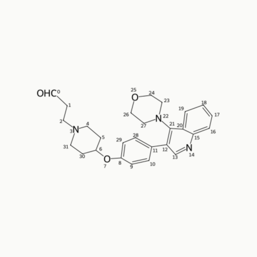 O=CCCN1CCC(Oc2ccc(-c3cnc4ccccc4c3N3CCOCC3)cc2)CC1